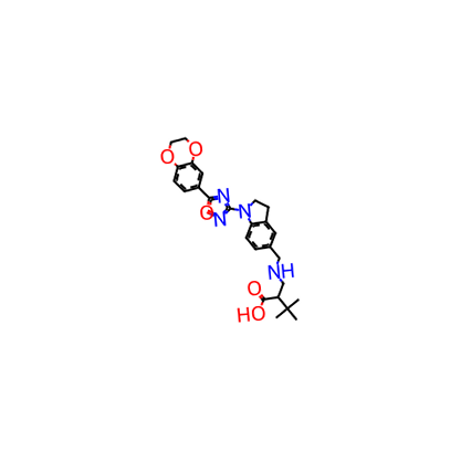 CC(C)(C)C(CNCc1ccc2c(c1)CCN2c1noc(-c2ccc3c(c2)OCCO3)n1)C(=O)O